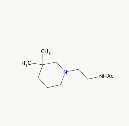 CC(=O)NCCN1CCCC(C)(C)C1